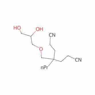 CCCC(CCC#N)(CCC#N)COCC(O)CO